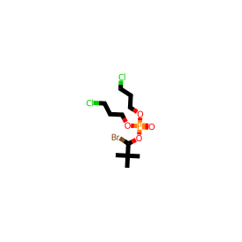 CC(C)(C)C(Br)OP(=O)(OCCCCl)OCCCCl